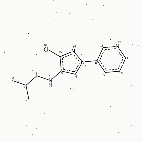 CC(C)CNc1cn(-c2cccnc2)nc1Cl